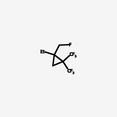 CCC1(CF)CC1(C(F)(F)F)C(F)(F)F